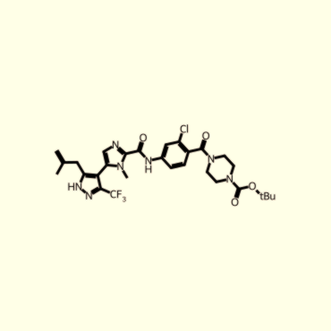 C=C(C)Cc1[nH]nc(C(F)(F)F)c1-c1cnc(C(=O)Nc2ccc(C(=O)N3CCN(C(=O)OC(C)(C)C)CC3)c(Cl)c2)n1C